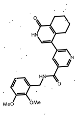 COc1cccc(CNC(=O)c2cncc(-c3c[nH]c(=O)c4c3CCCC4)c2)c1OC